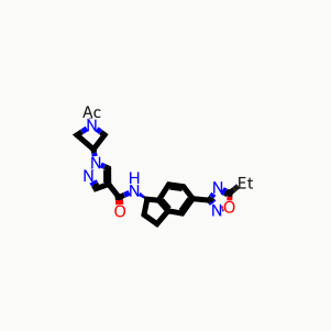 CCc1nc(-c2ccc3c(c2)CC[C@H]3NC(=O)c2cnn(C3CN(C(C)=O)C3)c2)no1